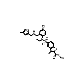 CCOC(=O)c1oc2ccc(S(=O)(=O)N(CC)c3ccc(Cl)cc3CNCc3cc(C)cs3)cc2c1C